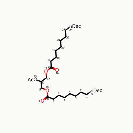 CCCCCCCCCCCCCCCCCC(=O)OCC(COC(=O)CCCCCCCCCCCCCCCCC)OC(C)=O